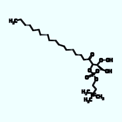 CCCCCCCCCCCCCCCCCC(=O)C(OP(=O)([O-])OCC[N+](C)(C)C)[C@H](CO)OO